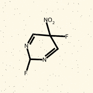 O=[N+]([O-])C1(F)C=NC(F)N=C1